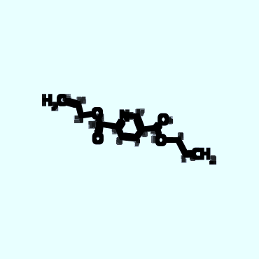 C=CCOC(=O)c1ccc(C(=O)OCC=C)nc1